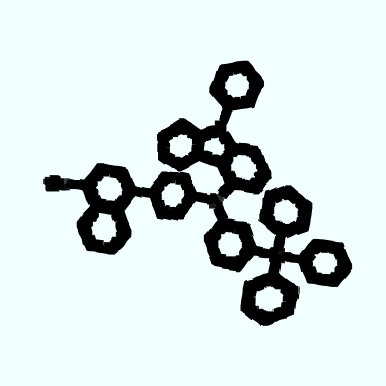 CC(C)(C)c1ccc(-c2ccc(N(c3cccc([Si](c4ccccc4)(c4ccccc4)c4ccccc4)c3)c3cccc4c3c3ccccc3n4-c3ccccc3)cc2)c2ccccc12